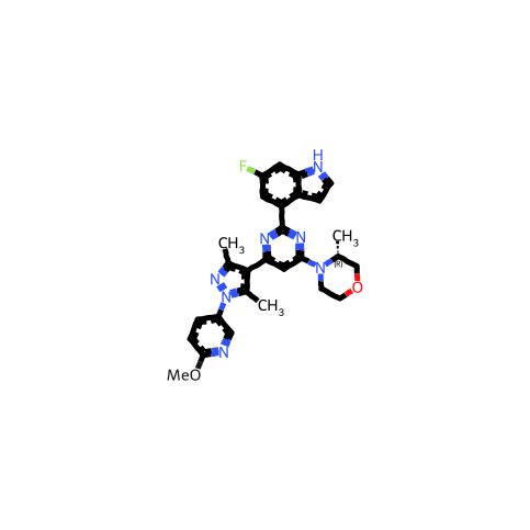 COc1ccc(-n2nc(C)c(-c3cc(N4CCOC[C@H]4C)nc(-c4cc(F)cc5[nH]ccc45)n3)c2C)cn1